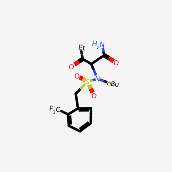 CCCCN(C(C(N)=O)C(=O)CC)S(=O)(=O)Cc1ccccc1C(F)(F)F